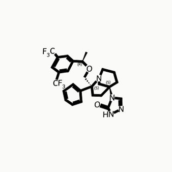 C[C@@H](OC[C@@]1(c2ccccc2)CC[C@@]2(n3cn[nH]c3=O)CCCN1C2)c1cc(C(F)(F)F)cc(C(F)(F)F)c1